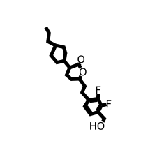 CCCC1CCC(C2CCC(CCc3ccc(CO)c(F)c3F)OC2=O)CC1